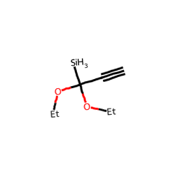 C#CC([SiH3])(OCC)OCC